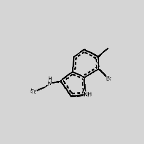 CCNc1c[nH]c2c(Br)c(C)ccc12